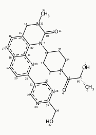 C[C@@H](O)C(=O)N1CCC(N2C(=O)N(C)Cc3cnc4ccc(-c5cnc(CO)nc5)nc4c32)CC1